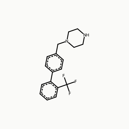 FC(F)(F)c1ccccc1-c1ccc(CN2CCNCC2)cc1